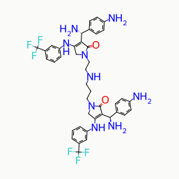 Nc1ccc([C@@H](N)C2=C(Nc3cccc(C(F)(F)F)c3)CN(CCCNCCN3CC(Nc4cccc(C(F)(F)F)c4)=C([C@H](N)c4ccc(N)cc4)C3=O)C2=O)cc1